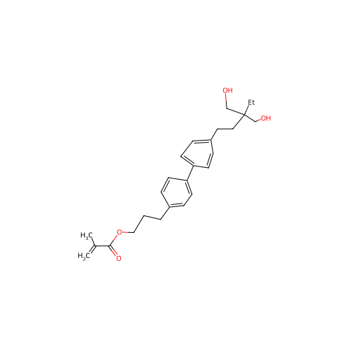 C=C(C)C(=O)OCCCc1ccc(-c2ccc(CCC(CC)(CO)CO)cc2)cc1